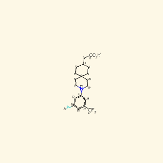 O=C(O)CC1CCC2(CC1)CCN(c1cc(F)cc(C(F)(F)F)c1)CC2